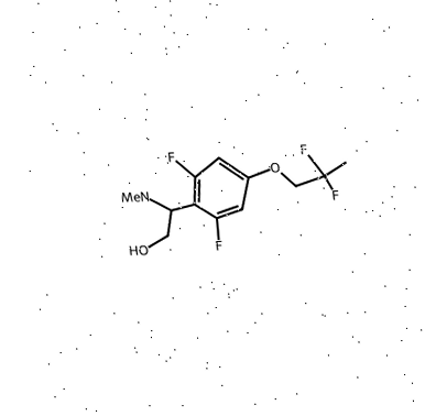 CNC(CO)c1c(F)cc(OCC(C)(F)F)cc1F